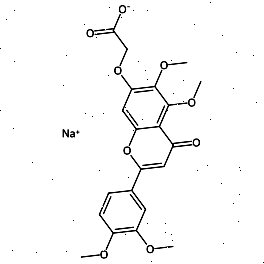 COc1ccc(-c2cc(=O)c3c(OC)c(OC)c(OCC(=O)[O-])cc3o2)cc1OC.[Na+]